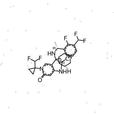 C[C@@H](NC(=O)c1cn(C2(C(F)F)CC2)c(=O)cc1N[C@@H]1CN2CCC1CC2)c1cccc(C(F)F)c1F